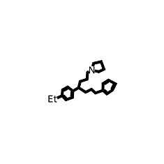 CCc1ccc(C(CCCc2ccccc2)CCCN2CCCC2)cc1